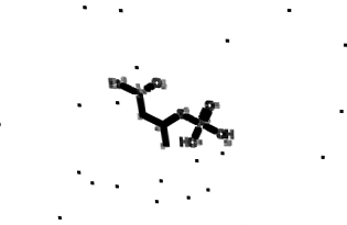 CC[S+]([O-])CC(C)SP(=O)(O)O